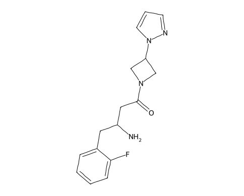 NC(CC(=O)N1CC(n2cccn2)C1)Cc1ccccc1F